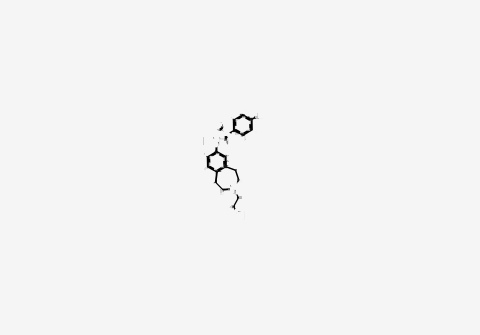 O=S(=O)(Nc1ccc2c(c1)CCN(CCC(F)(F)F)CC2)c1ccc(C(F)(F)F)cc1